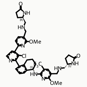 COc1nc(-c2ccnc(-c3cccc4c3CCC[C@@H]4Nc3nc(OC)c(CNC[C@@H]4CCC(=O)N4)cc3C(F)(F)F)c2Cl)ccc1CNC[C@H]1CCC(=O)N1